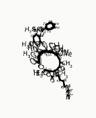 CCC1OC(=O)[C@H](C)[C@@H](O)[C@H](C)C(O[C@@H]2O[C@H](C)CC(N(C)C)[C@H]2OC(=O)c2ccccc2)[C@H](C)[C@@](C)(OC)C[C@@H](C)C(=O)[C@H](C)[C@H]2N(CCCCN=[N+]=[N-])C(=O)O[C@]12C